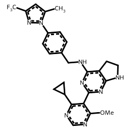 COc1ncnc(C2CC2)c1-c1nc2c(c(NCc3ccc(-n4nc(C(F)(F)F)cc4C)cc3)n1)CCN2